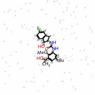 COc1c(NC(=O)N[C@H]2Cc3cc(F)ccc3[C@H]2O)cc(C(C)(C)C)cc1[C@H](C)O